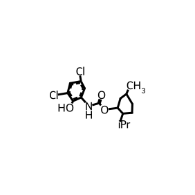 CC1CCC(C(C)C)C(OC(=O)Nc2cc(Cl)cc(Cl)c2O)C1